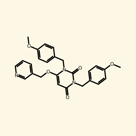 COc1ccc(Cn2c(OCc3cccnc3)cc(=O)n(Cc3ccc(OC)cc3)c2=O)cc1